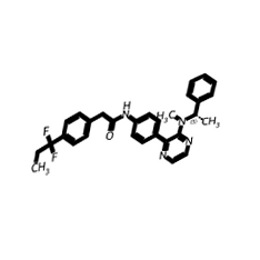 CCC(F)(F)c1ccc(CC(=O)Nc2ccc(-c3nccnc3N(C)[C@@H](C)c3ccccc3)cc2)cc1